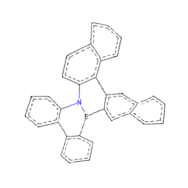 c1ccc2c(c1)B1c3cc4ccccc4cc3-c3c(ccc4ccccc34)N1c1ccccc1-2